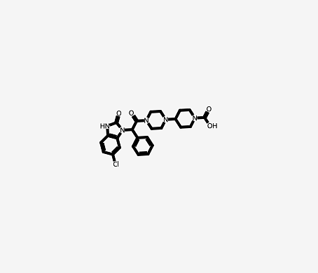 O=C(O)N1CCC(N2CCN(C(=O)C(c3ccccc3)n3c(=O)[nH]c4ccc(Cl)cc43)CC2)CC1